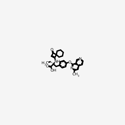 CC[C@@](Cc1ccc(Oc2nc(C)cc3ccncc23)cc1)(NC1=CC(=O)C12CCCCC2)C(=O)O